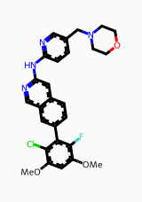 COc1cc(OC)c(Cl)c(-c2ccc3cc(Nc4ccc(CN5CCOCC5)cn4)ncc3c2)c1F